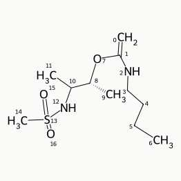 C=C(NCCCC)O[C@H](C)C(C)NS(C)(=O)=O